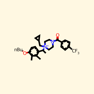 CCCCOc1ccc(C(C)[N+]2(CC3CC3)CCN(C(=O)c3ccc(C(F)(F)F)cc3)CC2)c(C)c1C